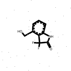 O=C1Nc2cccc(CO)c2C1(F)F